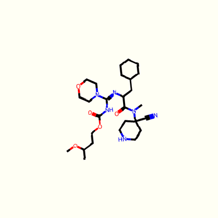 COC(C)CCOC(=O)NC(=NC(CC1CCCCC1)C(=O)N(C)C1(C#N)CCNCC1)N1CCOCC1